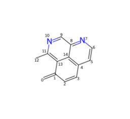 C=c1ccc2ccnc3cnc(C)c1c23